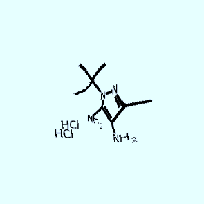 Cc1nn(C(C)(C)C)c(N)c1N.Cl.Cl